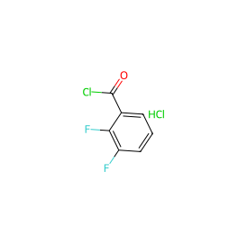 Cl.O=C(Cl)c1cccc(F)c1F